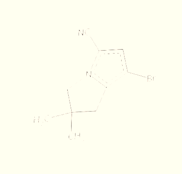 CC1(C)Cc2c(Br)cc(C#N)n2C1